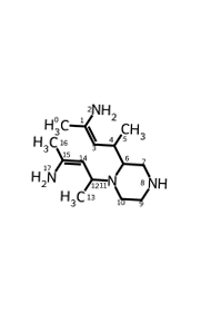 CC(N)=CC(C)C1CNCCN1C(C)C=C(C)N